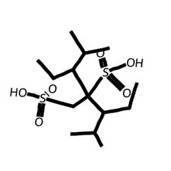 CCC(C(C)C)C(CS(=O)(=O)O)(C(CC)C(C)C)S(=O)(=O)O